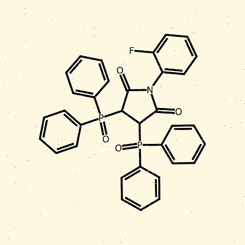 O=C1C(P(=O)(c2ccccc2)c2ccccc2)C(P(=O)(c2ccccc2)c2ccccc2)C(=O)N1c1ccccc1F